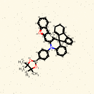 CC1(C)OB(c2ccc(N3c4ccccc4C4(C5=CCCC=C5c5ccccc54)c4cc5c(cc43)oc3ccccc35)cc2)OC1(C)C